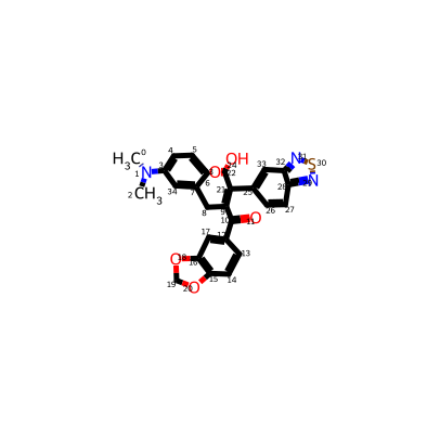 CN(C)c1cccc(CC(C(=O)c2ccc3c(c2)OCO3)=C(C(=O)O)c2ccc3nsnc3c2)c1